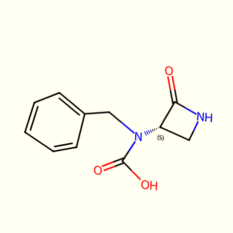 O=C1NC[C@@H]1N(Cc1ccccc1)C(=O)O